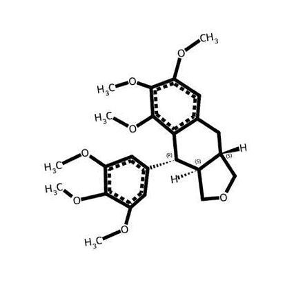 COc1cc([C@@H]2c3c(cc(OC)c(OC)c3OC)C[C@@H]3COC[C@H]32)cc(OC)c1OC